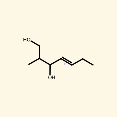 CC/C=C/C(O)C(C)CO